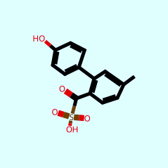 Cc1ccc(C(=O)S(=O)(=O)O)c(-c2ccc(O)cc2)c1